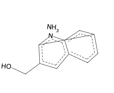 N.OCc1cc2ccc3cc2nc1-3